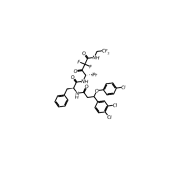 CC(C)[C@H](NC(=O)[C@H](Cc1ccccc1)NC(=O)CC(Oc1ccc(Cl)cc1)c1ccc(Cl)c(Cl)c1)C(=O)C(F)(F)C(=O)NCC(F)(F)F